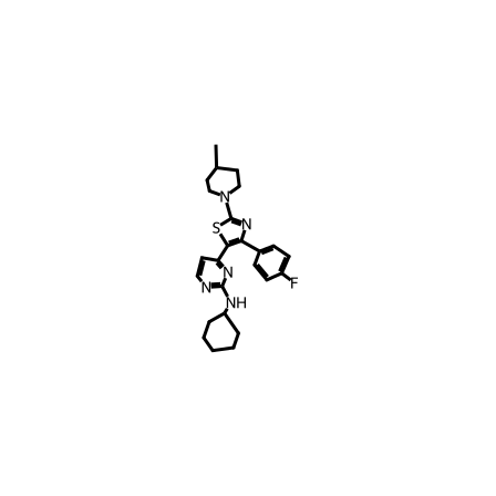 CC1CCN(c2nc(-c3ccc(F)cc3)c(-c3ccnc(NC4CCCCC4)n3)s2)CC1